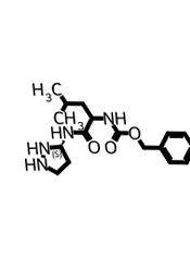 CC(C)CC(NC(=O)OCc1ccccc1)C(=O)N[C@@H]1CCNN1